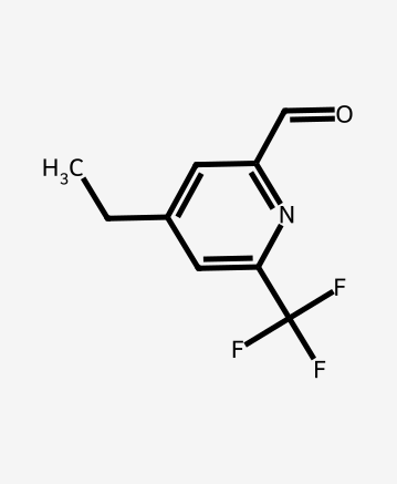 CCc1cc(C=O)nc(C(F)(F)F)c1